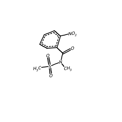 CN(C(=O)c1ccccc1[N+](=O)[O-])S(C)(=O)=O